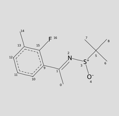 CC(=N[S+]([O-])C(C)(C)C)c1cccc(C)c1F